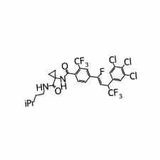 CC(C)CCNC(=O)C1(NC(=O)c2ccc(/C(F)=C/C(c3cc(Cl)c(Cl)c(Cl)c3)C(F)(F)F)cc2C(F)(F)F)CC1